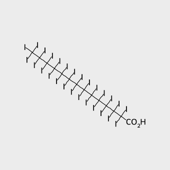 O=C(O)C(I)(I)C(I)(I)C(I)(I)C(I)(I)C(I)(I)C(I)(I)C(I)(I)C(I)(I)C(I)(I)C(I)(I)C(I)(I)C(I)(I)C(I)(I)I